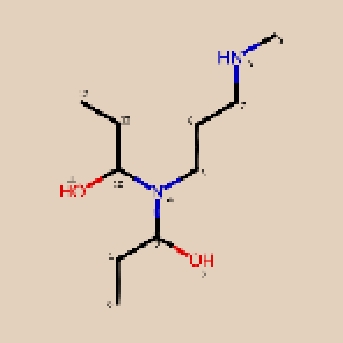 CCC(O)N(CCCNC)C(O)CC